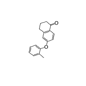 Cc1ccccc1Oc1ccc2c(c1)CCCC2=O